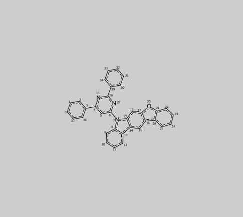 c1ccc(-c2cc(-n3c4ccccc4c4cc5c(cc43)oc3ccccc35)nc(-c3ccccc3)n2)cc1